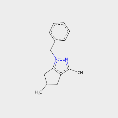 CC1Cc2c(C#N)nn(Cc3ccccc3)c2C1